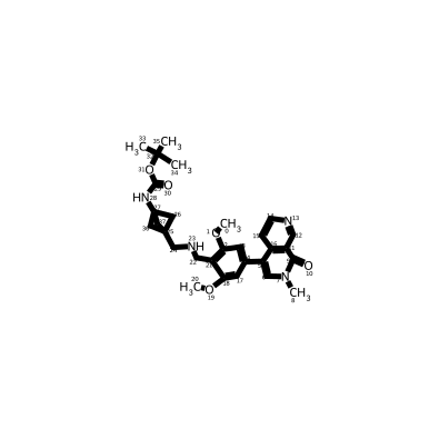 COc1cc(-c2cn(C)c(=O)c3cnccc23)cc(OC)c1CNCC12CC(NC(=O)OC(C)(C)C)(C1)C2